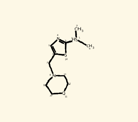 C[SH](C)c1ncc(CN2CCOCC2)s1